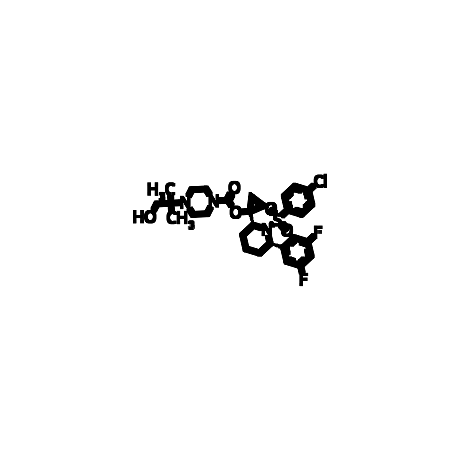 CC(C)(CO)N1CCN(C(=O)OC2([C@H]3CCC[C@@H](c4cc(F)cc(F)c4)N3S(=O)(=O)c3ccc(Cl)cc3)CC2)CC1